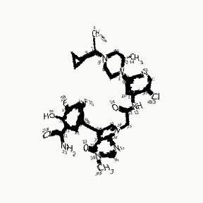 C[C@H](C1CC1)N1CCN(c2cc(NC(=O)Cn3cc(-c4cc(C(N)=O)c(O)c(F)c4F)c4c(=O)n(C)cnc43)c(Cl)cn2)[C@@H](C)C1